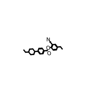 CCc1ccc(OC(=O)c2ccc(C3CCC(CC)CC3)cc2)c(C#N)c1